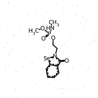 CNP(=O)(OC)OCCn1[se]c2ccccc2c1=O